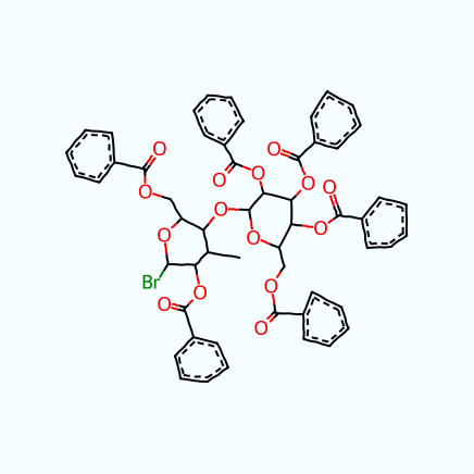 CC1C(OC(=O)c2ccccc2)C(Br)OC(COC(=O)c2ccccc2)C1OC1OC(COC(=O)c2ccccc2)C(OC(=O)c2ccccc2)C(OC(=O)c2ccccc2)C1OC(=O)c1ccccc1